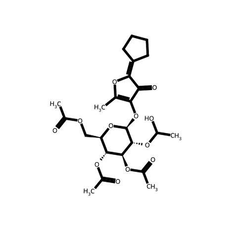 CC(=O)OC[C@H]1O[C@@H](OC2=C(C)OC(=C3CCCC3)C2=O)[C@H](OC(C)O)[C@@H](OC(C)=O)[C@@H]1OC(C)=O